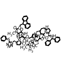 CC[C@H](NC(=O)OC(C)(C)C)C(=O)N[C@@H]1C(=O)N2[C@@H](CC[C@@H]1Cn1cc(CO[C@H](C)[C@H](NC(=O)[C@H](C)N(C)C(=O)OCC3c4ccccc4-c4ccccc43)C(=O)N3CCC[C@H]3Cn3nnnc3Sc3ccccc3)nn1)CC[C@H]2C(=O)NC(c1ccccc1)c1ccccc1